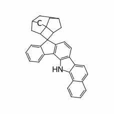 c1ccc2c(c1)-c1c(ccc3c1[nH]c1c4ccccc4ccc31)C21C2CC3CC4CC1C2(C3)C4